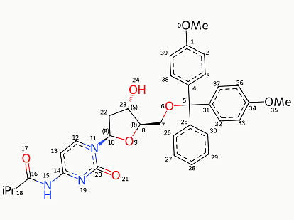 COc1ccc(C(OC[C@H]2O[C@@H](n3ccc(NC(=O)C(C)C)nc3=O)C[C@@H]2O)(c2ccccc2)c2ccc(OC)cc2)cc1